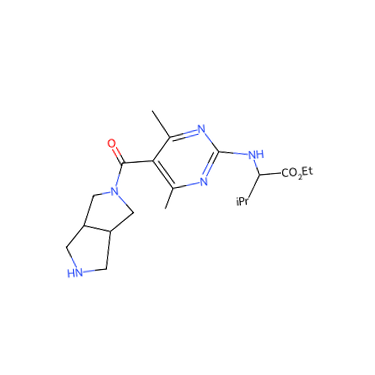 CCOC(=O)C(Nc1nc(C)c(C(=O)N2CC3CNCC3C2)c(C)n1)C(C)C